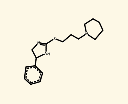 c1ccc(C2CN=C(SCCCN3CCCCC3)N2)cc1